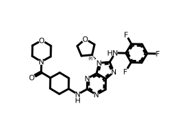 O=C(C1CCC(Nc2ncc3nc(Nc4c(F)cc(F)cc4F)n([C@@H]4CCOC4)c3n2)CC1)N1CCOCC1